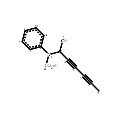 CC#CC#CC(O)N(C(=O)OCC)c1ccccc1